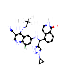 Cn1ccc2c(C(Nc3cc(Cl)c4ncc(C#N)c(NCC(C)(C)C)c4c3)c3cn(C4CC4)nn3)cccc2c1=O